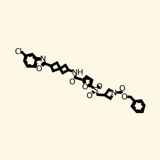 O=C(NC1CC2(C1)CC(c1nc3cc(Cl)ccc3o1)C2)c1ccc(S(=O)(=O)CC2CN(C(=O)OCc3ccccc3)C2)o1